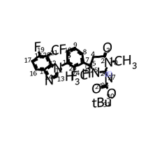 CN1C(=O)C[C@@](C)(c2cccc(-n3cnc4ccc(F)c(C(F)(F)F)c43)c2F)N/C1=N\C(=O)OC(C)(C)C